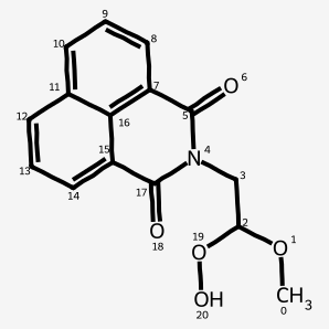 COC(CN1C(=O)c2cccc3cccc(c23)C1=O)OO